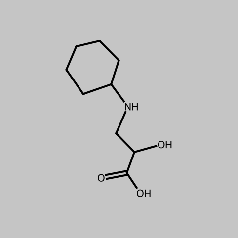 O=C(O)C(O)CNC1CCCCC1